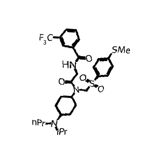 CCCN(C(C)C)C1CCC(N(CS(=O)(=O)c2ccc(SC)cc2)C(=O)CNC(=O)c2cccc(C(F)(F)F)c2)CC1